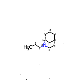 CCCN1CCC2CCCC1C2